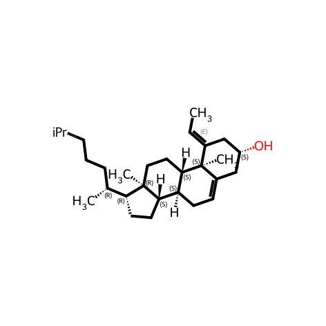 C/C=C1\C[C@H](O)CC2=CC[C@H]3[C@@H]4CC[C@H]([C@H](C)CCCC(C)C)[C@@]4(C)CC[C@@H]3[C@]21C